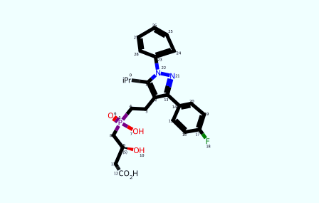 CC(C)c1c(CCP(=O)(O)C[C@@H](O)CC(=O)O)c(-c2ccc(F)cc2)nn1-c1ccccc1